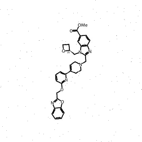 COC(=O)c1ccc2nc(CN3CC=C(c4cccc(OCc5nc6ccccc6o5)n4)CC3)n(C[C@@H]3CCO3)c2c1